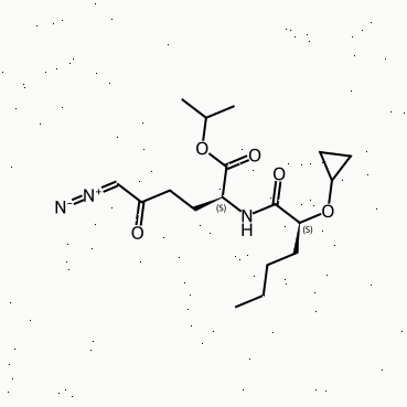 CCCC[C@H](OC1CC1)C(=O)N[C@@H](CCC(=O)C=[N+]=[N-])C(=O)OC(C)C